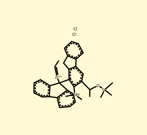 C[CH]=[Zr+2][C]1(c2c3c(cc(C(C)O[Si](C)(C)C)c2[SiH](C)C)-c2ccccc2C3)c2ccccc2-c2ccccc21.[Cl-].[Cl-]